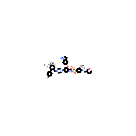 CC1(C)CCC(CN2CCN(c3ccc(C(=O)NS(=O)(=O)c4ccc(NCC5=CC=COC5)c([N+](=O)[O-])c4)c(Oc4ccc5[nH]ccc5c4)c3)CC2)=C(c2ccc(Cl)cc2)C1